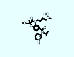 COCCCCN1C(=O)C(C)(COC)Oc2ccc(C(=O)N(C(C)C)[C@@H]3CCCNC3)cc21.Cl